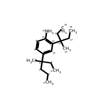 CCCC(C)(CC)c1ccc(N)c(C(C)(CC)CC)c1